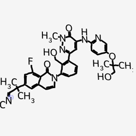 C/N=C/C(C)(C)c1cc(F)c2c(=O)n(-c3cccc(-c4cc(Nc5ccc(OC(C)(C)CO)cn5)c(=O)n(C)n4)c3CO)ccc2c1